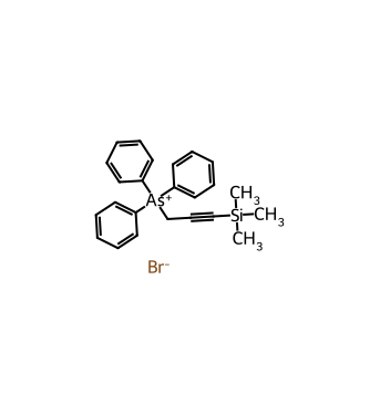 C[Si](C)(C)C#CC[As+](c1ccccc1)(c1ccccc1)c1ccccc1.[Br-]